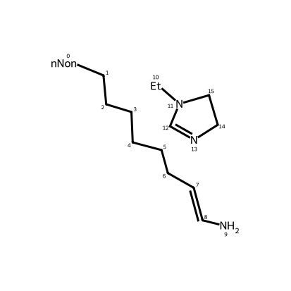 CCCCCCCCCCCCCCCC=CN.CCN1C=NCC1